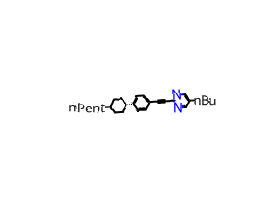 CCCCC[C@H]1CC[C@H](c2ccc(C#Cc3ncc(CCCC)cn3)cc2)CC1